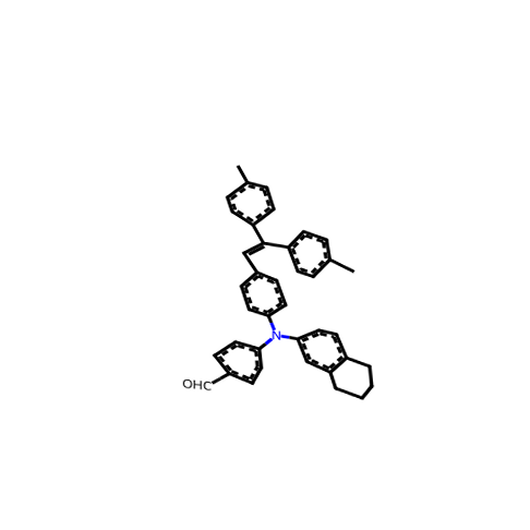 Cc1ccc(C(=Cc2ccc(N(c3ccc(C=O)cc3)c3ccc4c(c3)CCCC4)cc2)c2ccc(C)cc2)cc1